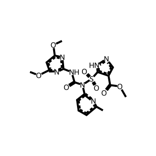 COC(=O)c1cn[nH]c1S(=O)(=O)N(C(=O)Nc1nc(OC)cc(OC)n1)c1cccc(C)n1